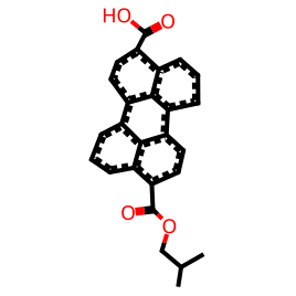 CC(C)COC(=O)c1ccc2c3cccc4c(C(=O)O)ccc(c5cccc1c52)c43